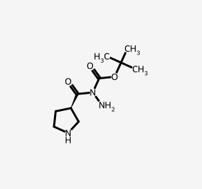 CC(C)(C)OC(=O)N(N)C(=O)[C@@H]1CCNC1